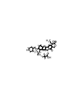 CC[C@@]1(O)C(=O)OCc2c1cc1n(c2=O)Cc2cc3c(CN(C)C)c(OCC4CCNCC4)ccc3nc2-1.O=C(O)C(F)(F)F